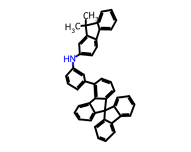 CC1(C)c2ccccc2-c2ccc(Nc3cccc(-c4cccc5c4-c4ccccc4C54c5ccccc5-c5ccccc54)c3)cc21